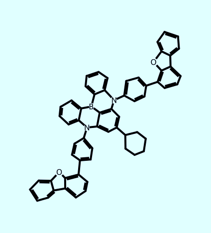 c1ccc2c(c1)B1c3ccccc3N(c3ccc(-c4cccc5c4oc4ccccc45)cc3)c3cc(C4CCCCC4)cc(c31)N2c1ccc(-c2cccc3c2oc2ccccc23)cc1